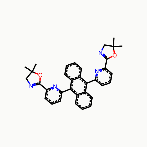 CC1(C)CN=C(c2cccc(-c3c4ccccc4c(-c4cccc(C5=NCC(C)(C)O5)n4)c4ccccc34)n2)O1